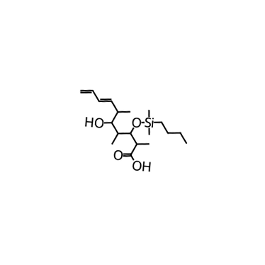 C=CC=CC(C)C(O)C(C)C(O[Si](C)(C)CCCC)C(C)C(=O)O